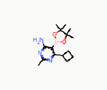 Cc1nc(N)c(B2OC(C)(C)C(C)(C)O2)c(C2CCC2)n1